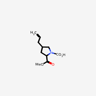 C=CCC1CC(C(=O)OC)N(C(=O)O)C1